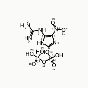 N=C(N)Nc1[nH]cnc1[N+](=O)[O-].O=P(O)(O)OP(=O)(O)O